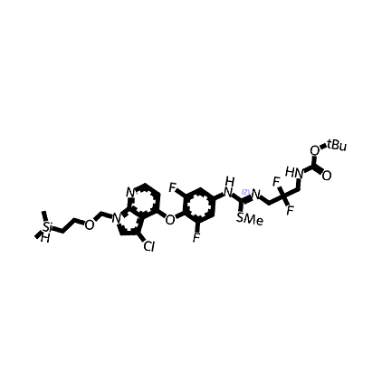 CS/C(=N\CC(F)(F)CNC(=O)OC(C)(C)C)Nc1cc(F)c(Oc2ccnc3c2c(Cl)cn3COCC[SiH](C)C)c(F)c1